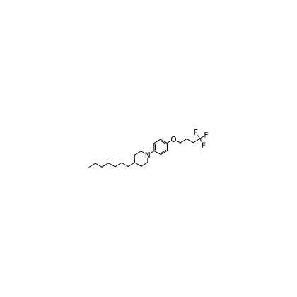 CCCCCCCC1CCN(c2ccc(OCCCC(F)(F)F)cc2)CC1